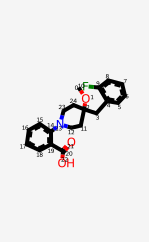 COC1(Cc2ccccc2F)CCN(c2ccccc2C(=O)O)CC1